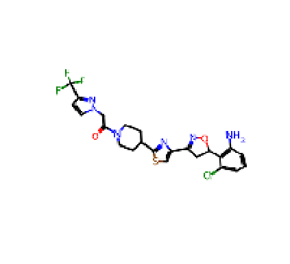 Nc1cccc(Cl)c1C1CC(c2csc(C3CCN(C(=O)Cn4ccc(C(F)(F)F)n4)CC3)n2)=NO1